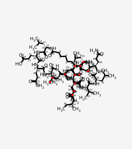 CCCCCCCCCC(=O)N[C@@H](CC(C)C)C(=O)N[C@H](CCC(=O)O)C(=O)N[C@H](CCC(N)=O)C(=O)N[C@@H](C(=O)N[C@H](CC(C)C)C(=O)N[C@@H](CCCN)C(=O)N[C@H](COC(=O)C[C@@H](C)CC)C(=O)N[C@H](C(=O)N[C@H](CC(C)C)C(=O)N[C@H](CCC(N)=O)C(=O)N[C@@H](CC(C)C)C(=O)N[C@@H](CC(C)C)C(=O)N[C@H](CCC(N)=O)C(N)=O)C(C)C)C(C)C